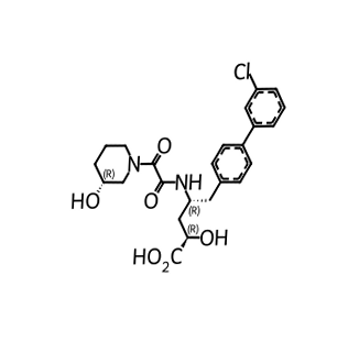 O=C(N[C@H](Cc1ccc(-c2cccc(Cl)c2)cc1)C[C@@H](O)C(=O)O)C(=O)N1CCC[C@@H](O)C1